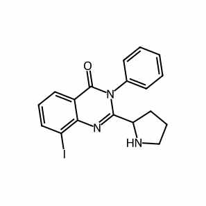 O=c1c2cccc(I)c2nc(C2CCCN2)n1-c1ccccc1